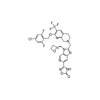 O=c1[nH]c(-c2cc3nc(CN4CCc5cc(C(F)(F)F)c(OCc6c(F)cc(Cl)cc6F)nc5C4)n(C[C@@H]4CCO4)c3cn2)no1